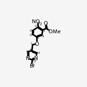 COC(=O)c1cc(OCc2cnc(Br)nc2)ccc1[N+](=O)[O-]